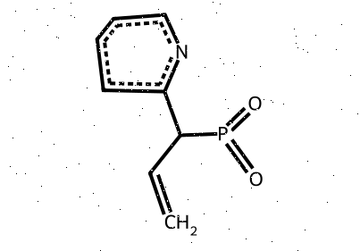 C=CC(c1ccccn1)P(=O)=O